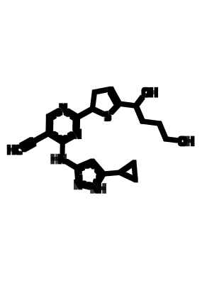 C#Cc1cnc(C2CC=C(C(O)CCCO)S2)nc1Nc1cc(C2CC2)[nH]n1